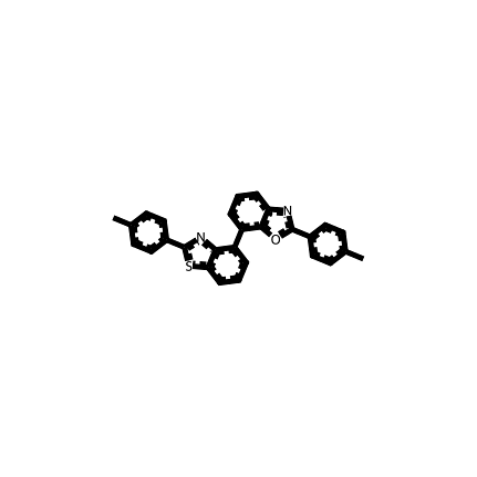 Cc1ccc(-c2nc3cccc(-c4cccc5sc(-c6ccc(C)cc6)nc45)c3o2)cc1